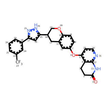 O=C1CCc2c(Oc3ccc4c(c3)CC(c3cc(-c5cccc(C(F)(F)F)c5)n[nH]3)CO4)ccnc2N1